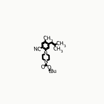 CC(C)=Cc1cc(N2CCN(C(=O)OC(C)(C)C)CC2)c(C#N)cc1C